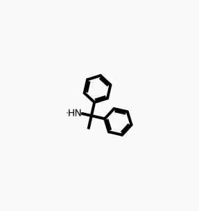 CC([NH])(c1ccccc1)c1ccccc1